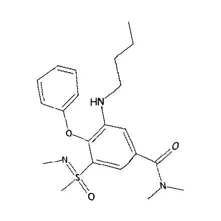 CCCCNc1cc(C(=O)N(C)C)cc(S(C)(=O)=NC)c1Oc1ccccc1